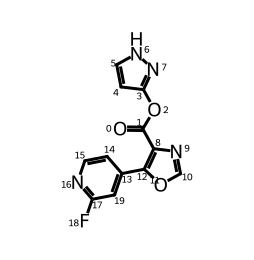 O=C(Oc1cc[nH]n1)c1ncoc1-c1ccnc(F)c1